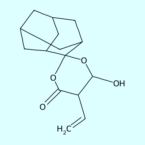 C=CC1C(=O)OC2(OC1O)C1CC3CC(C1)CC2C3